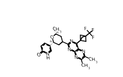 Cc1nc2nc(C3C[C@@H](C)O[C@@H](c4ccc(=O)[nH]c4)C3)nc(C34CC(C(F)(F)F)(C3)C4)c2nc1C